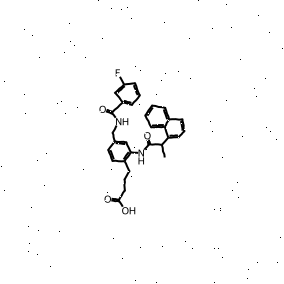 CC(C(=O)Nc1cc(CNC(=O)c2cccc(F)c2)ccc1CCCC(=O)O)c1cccc2ccccc12